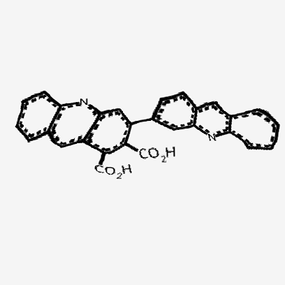 O=C(O)c1c(-c2ccc3cc4ccccc4nc3c2)cc2nc3ccccc3cc2c1C(=O)O